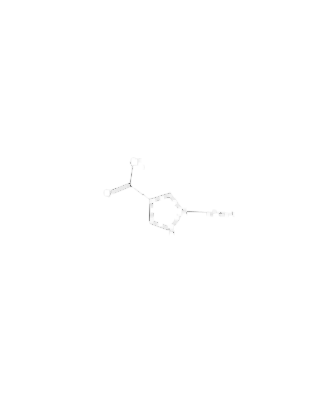 CCCCCn1cc(C(=O)C(F)(F)F)cn1